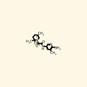 Cc1cc(NC(=O)C(=O)N2C[C@H](C)CCC2(C)C)cnc1N